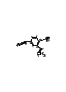 C=Cc1cc(C#N)ccc1Br